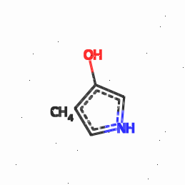 C.Oc1cc[nH]c1